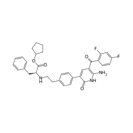 Nc1[nH]c(=O)c(-c2ccc(CCN[C@@H](Cc3ccccc3)C(=O)OC3CCCC3)cc2)cc1C(=O)c1ccc(F)cc1F